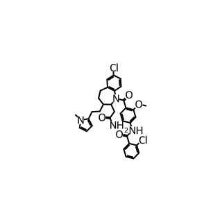 COc1cc(NC(=O)c2ccccc2Cl)ccc1C(=O)N1c2ccc(Cl)cc2CCC(CCc2cccn2C)C1CC(N)=O